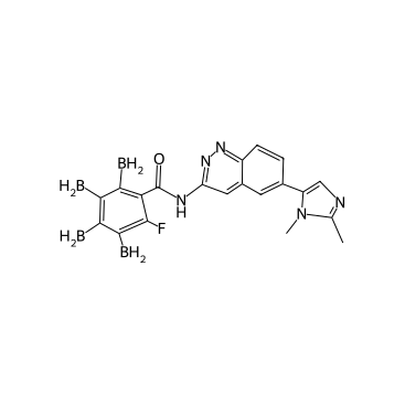 Bc1c(B)c(B)c(C(=O)Nc2cc3cc(-c4cnc(C)n4C)ccc3nn2)c(F)c1B